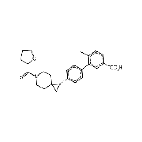 Cc1ccc(C(=O)O)cc1-c1ccc([C@@H]2CC23CCN(C(=O)C2CCCO2)CC3)cc1